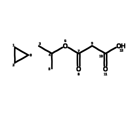 C1CC1.CC(C)OC(=O)CC(=O)O